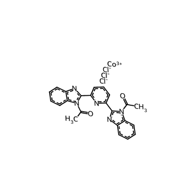 CC(=O)n1c(-c2cccc(-c3nc4ccccc4n3C(C)=O)n2)nc2ccccc21.[Cl-].[Cl-].[Cl-].[Co+3]